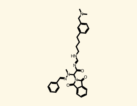 CN(C)Cc1cccc(CCCCNC=NC(=O)C(N(C)N=Cc2ccccc2)N2C(=O)c3ccccc3C2=O)c1